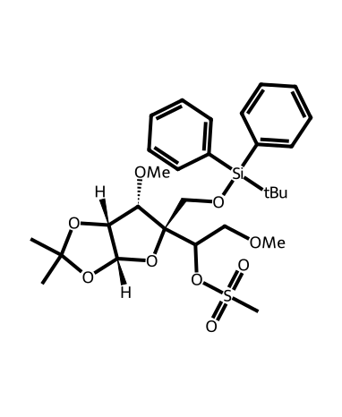 COCC(OS(C)(=O)=O)[C@]1(CO[Si](c2ccccc2)(c2ccccc2)C(C)(C)C)O[C@@H]2OC(C)(C)O[C@@H]2[C@@H]1OC